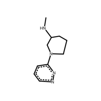 CNC1CCCN(c2cccnn2)C1